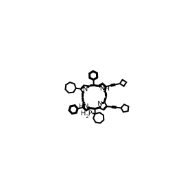 PC1(c2c3nc(cc4[nH]c(cc4C#CC4CCC4)c(-c4ccccc4)c4nc(cc5[nH]c2cc5-c2ccccc2)C(C2CCCCCC2)=C4)C(C#CC2CCCC2)=C3)CCCCCC1